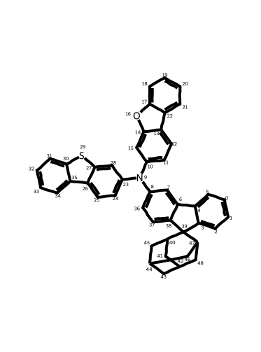 c1ccc2c(c1)-c1cc(N(c3ccc4c(c3)oc3ccccc34)c3ccc4c(c3)sc3ccccc34)ccc1C21C2CC3CC(C2)CC1C3